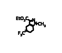 CCOC(=O)c1nn(C)c2c1C[C@@H](C(F)(F)F)CC2